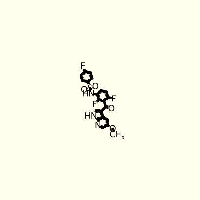 COc1cnc2[nH]cc(C(=O)c3c(F)ccc(NS(=O)(=O)c4ccc(F)cc4)c3F)c2c1